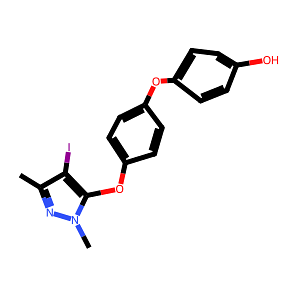 Cc1nn(C)c(Oc2ccc(Oc3ccc(O)cc3)cc2)c1I